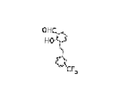 O=Cc1cccc(/C=C/c2cccc(C(F)(F)F)c2)c1O